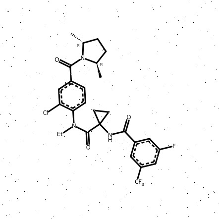 CCN(C(=O)C1(NC(=O)c2cc(F)cc(C(F)(F)F)c2)CC1)c1ccc(C(=O)N2[C@H](C)CC[C@H]2C)cc1Cl